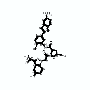 Cc1ccc2[nH]c(-c3ccc(F)c(NC(=O)C4CC(F)CN4C(=O)Cn4nc(C(N)=O)c5cc(O)ccc54)c3)cc2c1